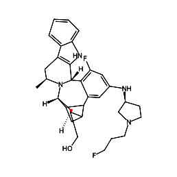 C[C@H]1Cc2c([nH]c3ccccc23)[C@@H]2c3c(F)cc(N[C@H]4CCN(CCCF)C4)cc3C3C4CC3[C@@H](C[C@@H]4CO)N21